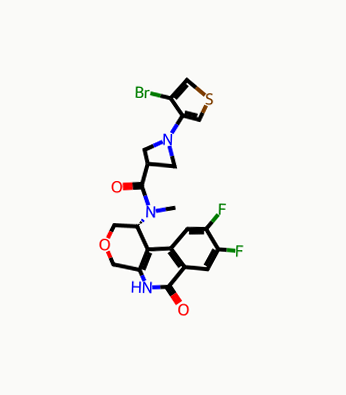 CN(C(=O)C1CN(c2cscc2Br)C1)[C@H]1COCc2[nH]c(=O)c3cc(F)c(F)cc3c21